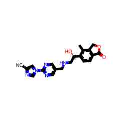 Cc1c([C@@H](O)CNCc2cnc(-n3cnc(C#N)c3)nc2)ccc2c1COC2=O